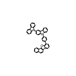 c1ccc2c(c1)ccc1c3cccc(-c4ccc(-n5c6ccccc6c6cc(-n7c8ccccc8c8ccccc87)ccc65)cc4)c3oc21